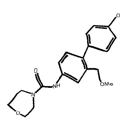 COCc1cc(NC(=O)N2CCOCC2)ccc1-c1ccc(Cl)cc1